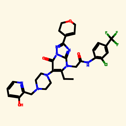 CCc1c(N2CCN(Cc3ncccc3O)CC2)c(=O)n2nc(C3=CCOCC3)nc2n1CC(=O)Nc1ccc(C(F)(F)F)cc1Cl